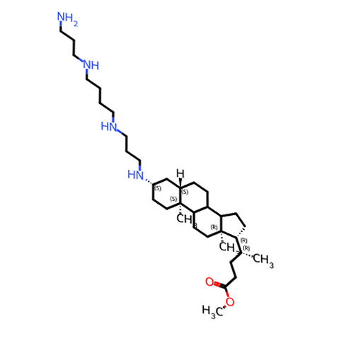 COC(=O)CC[C@@H](C)[C@H]1CCC2C3CC[C@H]4C[C@@H](NCCCNCCCCNCCCN)CC[C@]4(C)C3CC[C@@]21C